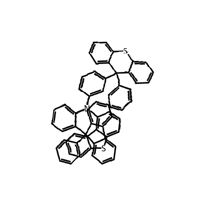 c1ccc(C2(c3cccc(N(c4ccccc4C4(c5ccccc5)c5ccccc5-c5ccccc54)c4cccc5sc6ccccc6c45)c3)c3ccccc3Sc3ccccc32)cc1